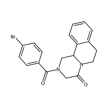 O=C(c1ccc(Br)cc1)N1CC(=O)N2CCc3ccccc3C2C1